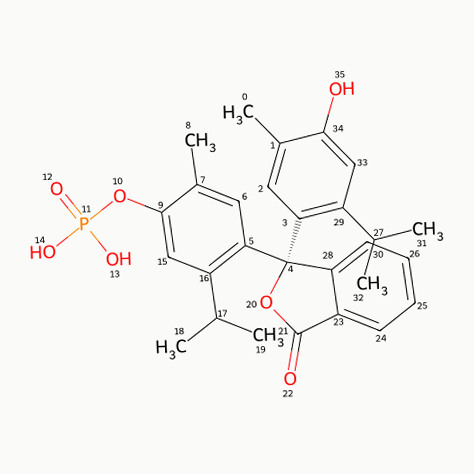 Cc1cc([C@@]2(c3cc(C)c(OP(=O)(O)O)cc3C(C)C)OC(=O)c3ccccc32)c(C(C)C)cc1O